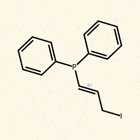 IC/C=C/P(c1ccccc1)c1ccccc1